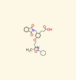 Cc1oc(C2CCCCC2)nc1CCOc1ccc(CCC(=O)O)c(CN2C(=O)c3ccccc3C2=O)c1